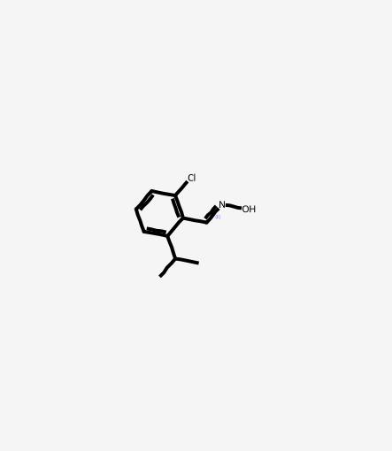 CC(C)c1cccc(Cl)c1/C=N/O